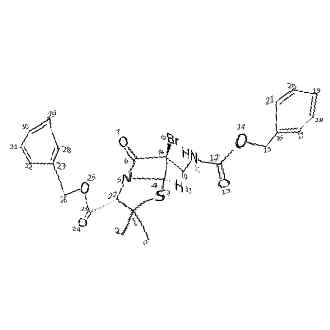 CC1(C)S[C@H]2N(C(=O)[C@]2(Br)CNC(=O)OCc2ccccc2)[C@H]1C(=O)OCc1ccccc1